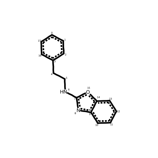 c1ccc(CCNc2nc3ccccc3o2)cc1